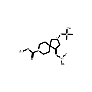 CC(C)(C)OC(=O)N1CCC2(CC1)C[C@@H](O[Si](C)(C)C(C)(C)C)C/C2=N\[S@+]([O-])C(C)(C)C